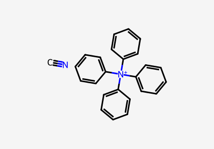 [C-]#N.c1ccc([N+](c2ccccc2)(c2ccccc2)c2ccccc2)cc1